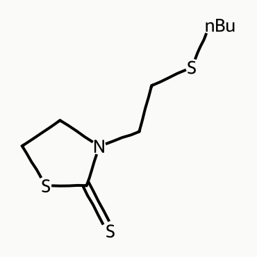 CCCCSCCN1CCSC1=S